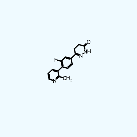 Cc1ncccc1-c1ccc(C2=NNC(=O)CC2)cc1F